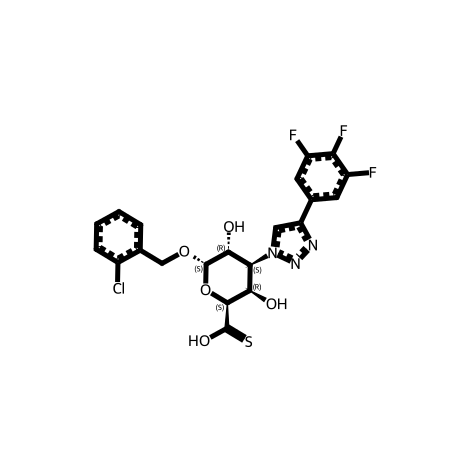 OC(=S)[C@H]1O[C@H](OCc2ccccc2Cl)[C@H](O)[C@@H](n2cc(-c3cc(F)c(F)c(F)c3)nn2)[C@H]1O